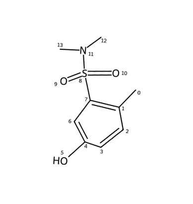 Cc1ccc(O)cc1S(=O)(=O)N(C)C